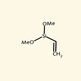 C=C[Si](OC)OC